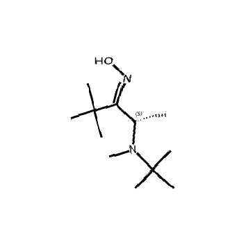 C[C@@H](C(=NO)C(C)(C)C)N(C)C(C)(C)C